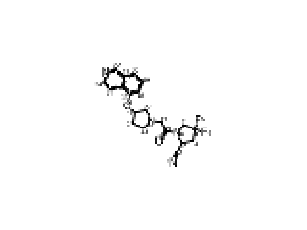 N#CC1CC(F)(F)CN1C(=O)CN1CCC(Oc2cccc3cnccc23)C1